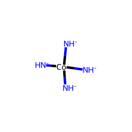 [NH-][Co]([NH-])([NH-])[NH-]